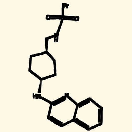 CC(C)S(=O)(=O)NC[C@H]1CC[C@H](Nc2ccc3ccccc3n2)CC1